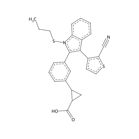 CCCSn1c(-c2cccc(C3CC3C(=O)O)c2)c(-c2ccsc2C#N)c2ccccc21